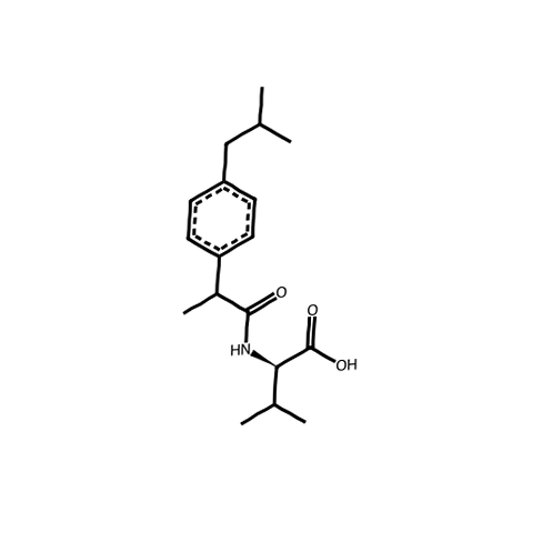 CC(C)Cc1ccc(C(C)C(=O)N[C@@H](C(=O)O)C(C)C)cc1